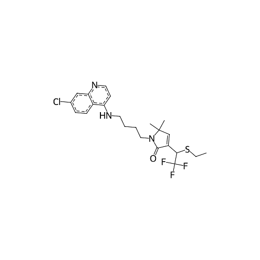 CCSC(C1=CC(C)(C)N(CCCCNc2ccnc3cc(Cl)ccc23)C1=O)C(F)(F)F